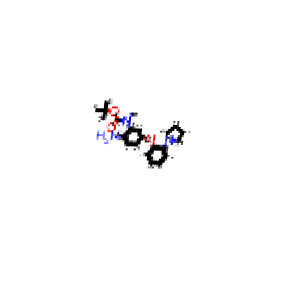 CN(C(=O)OC(C)(C)C)c1cc(Oc2ccccc2N2CCCC2)ccc1N